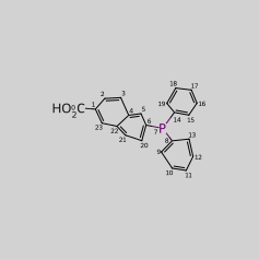 O=C(O)c1ccc2cc(P(c3ccccc3)c3ccccc3)ccc2c1